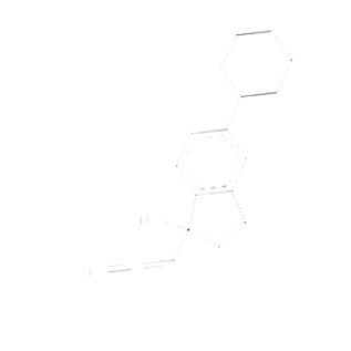 C=C=CC1(O)CCc2cc(C3CCCCC3)ccc21